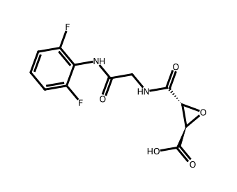 O=C(CNC(=O)[C@@H]1O[C@H]1C(=O)O)Nc1c(F)cccc1F